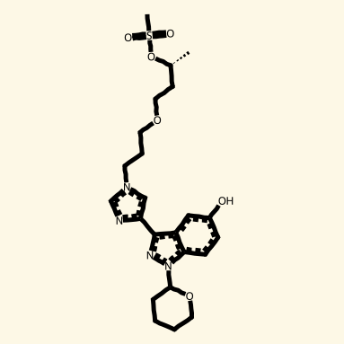 C[C@H](CCOCCCn1cnc(-c2nn(C3CCCCO3)c3ccc(O)cc23)c1)OS(C)(=O)=O